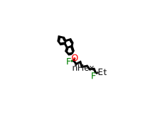 CCCCCCC(CCCCCC(F)CC)C(F)Oc1ccc2c(ccc3ccccc32)c1